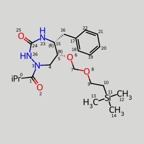 CC(C)C(=O)N1C[C@@H](OCOCC[Si](C)(C)C)[C@@H](Cc2ccccc2)NC(=O)N1